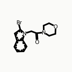 O=C(Cn1c(Br)cc2ccccc21)N1CCOCC1